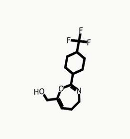 OCC1=CCCN=C(C2CCC(C(F)(F)F)CC2)O1